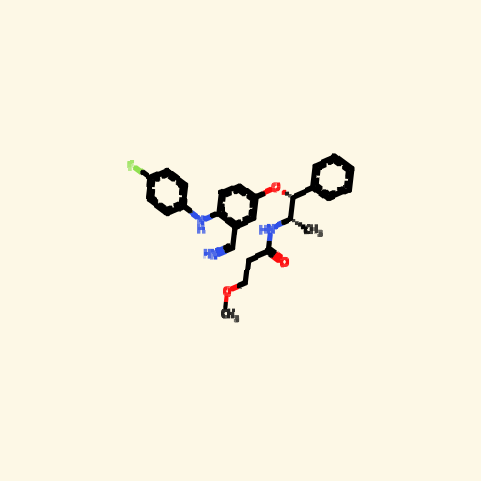 COCCC(=O)N[C@@H](C)[C@H](Oc1ccc(Nc2ccc(F)cc2)c(C=N)c1)c1ccccc1